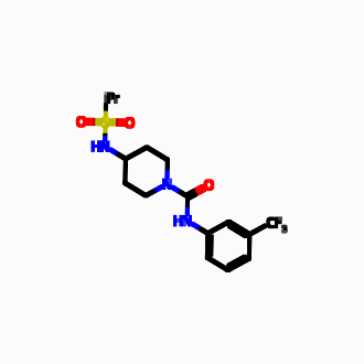 CC(C)S(=O)(=O)NC1CCN(C(=O)Nc2cccc(C(F)(F)F)c2)CC1